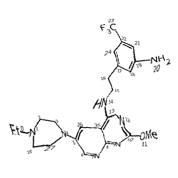 CCN1CCN(c2cnc3nc(OC)nc(NCCc4cc(N)cc(C(F)(F)F)c4)c3c2)CC1